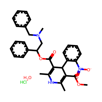 COC(=O)C1=C(C)NC(C)=C(C(=O)OC(CN(C)Cc2ccccc2)c2ccccc2)C1c1ccccc1[N+](=O)[O-].Cl.O